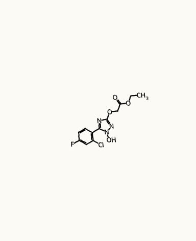 CCOC(=O)COc1nc(-c2ccc(F)cc2Cl)n(O)n1